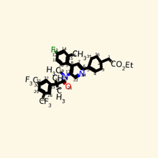 CCOC(=O)CC1CC=C(c2cc(-c3ccc(F)cc3C)c(N(C)C(=O)C(C)(C)c3cc(C(F)(F)F)cc(C(F)(F)F)c3)cn2)CC1